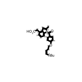 CCCC/C=C\CCOc1ccc(C(=O)n2c(C)cc3c(CC(=O)O)cccc32)cc1